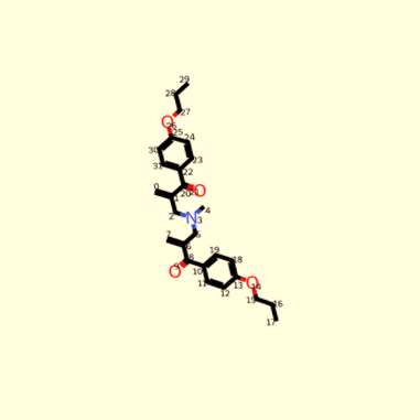 C=C(CN(C)CC(=C)C(=O)c1ccc(OCCC)cc1)C(=O)c1ccc(OCCC)cc1